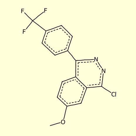 COc1ccc2c(-c3ccc(C(F)(F)F)cc3)nnc(Cl)c2c1